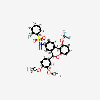 COc1ccc(C2Oc3cccc(OC(F)F)c3-c3ccc(NS(=O)(=O)c4ccccc4F)cc32)cc1OC